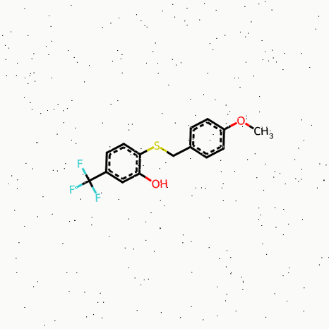 COc1ccc(CSc2ccc(C(F)(F)F)cc2O)cc1